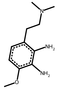 COc1ccc(CCN(C)C)c(N)c1N